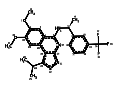 COc1cc2c(N[C@H](C)c3cccc(C(F)(F)F)c3)nc3nnc(C(C)C)n3c2cc1OC